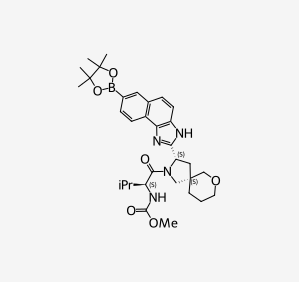 COC(=O)N[C@H](C(=O)N1C[C@]2(CCCOC2)C[C@H]1c1nc2c(ccc3cc(B4OC(C)(C)C(C)(C)O4)ccc32)[nH]1)C(C)C